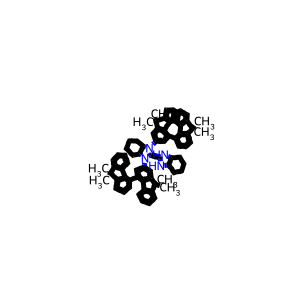 CC1(C)c2ccccc2-c2c(-c3cc(N4C(=C5NC6CCCCC6N5)N(c5cc(-c6cccc7c6-c6ccccc6C7(C)C)c6c(c5)C(C)(C)c5ccccc5-6)C5CCCCC54)cc4c3-c3ccccc3C4(C)C)cccc21